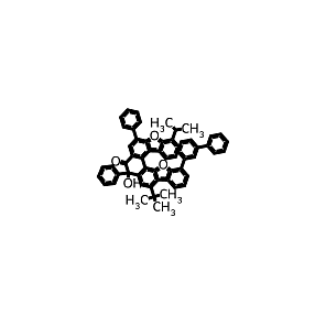 CC(C)c1cccc2c1oc1c(-c3ccccc3)cc3c(c12)-c1c(cc(C(C)(C)C)c2c1oc1c(-c4cccc(-c5ccccc5)c4)cccc12)C(O)(c1ccccc1)C3=O